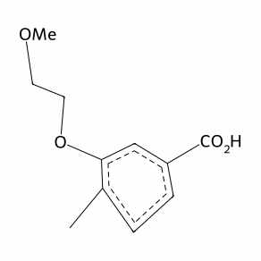 COCCOc1cc(C(=O)O)ccc1C